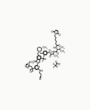 CC(NC(=O)C(NC(=O)CCCCCN1C(=O)C=CC1=O)C(C)C)C(=O)Nc1ccc(C[N+]2(Cc3cc4c(c(C(F)(F)F)c3)CN(c3cc(C5(Cc6nncn6C)COC5)cc(NCCC#N)n3)C4=O)CCC[C@H](C)C2)cc1.O=C([O-])C(F)(F)F